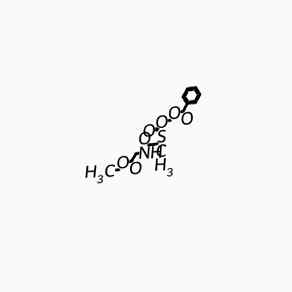 CCOC(=O)CNC(=O)C(C)SC(=O)OCOC(=O)c1ccccc1